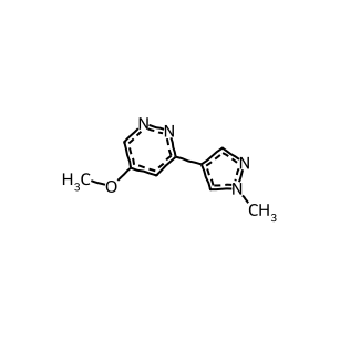 COc1cnnc(-c2cnn(C)c2)c1